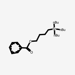 CCC[CH2][Sn]([CH2]CCC)([CH2]CCC)[CH2]CCCOC(=O)c1ccccc1